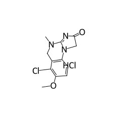 COc1ccc2c(c1Cl)CN(C)C1=NC(=O)CN12.Cl